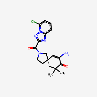 CC1(C)C[C@]2(C=C(N)C1=O)CCN(C(=O)c1nc3cccc(Cl)n3n1)C2